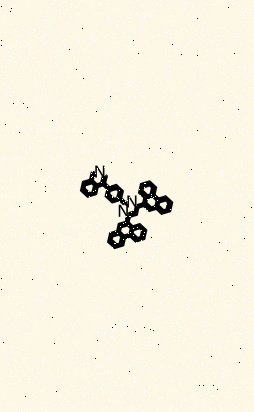 c1ccc2c(-c3ccc(-c4nc(-c5cc6ccccc6c6ccccc56)cc(-c5cc6ccccc6c6ccccc56)n4)cc3)cncc2c1